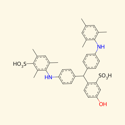 Cc1cc(C)c(Nc2ccc(C(c3ccc(Nc4c(C)cc(C)c(S(=O)(=O)O)c4C)cc3)c3ccc(O)cc3S(=O)(=O)O)cc2)c(C)c1